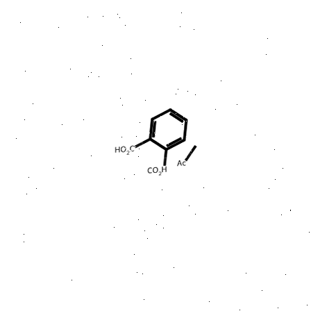 CC(C)=O.O=C(O)c1ccccc1C(=O)O